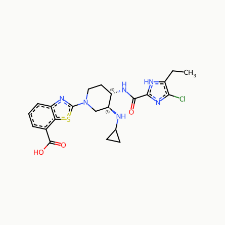 CCc1[nH]c(C(=O)N[C@H]2CCN(c3nc4cccc(C(=O)O)c4s3)C[C@@H]2NC2CC2)nc1Cl